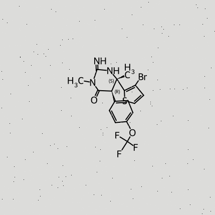 CN1C(=N)N[C@](C)(c2sccc2Br)[C@@H](c2ccc(OC(F)(F)F)cc2)C1=O